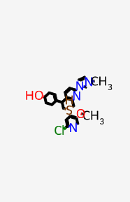 COc1cnc(Cl)cc1[SH]1Cc2nc(N3C=CN(C)C3)ccc2C(C2=CCC(O)CC2)C1